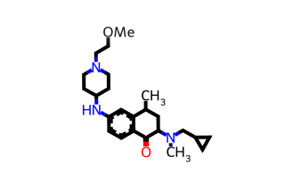 COCCN1CCC(Nc2ccc3c(c2)C(C)CC(N(C)CC2CC2)C3=O)CC1